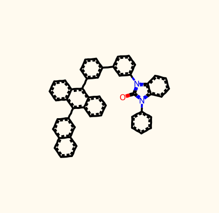 O=c1n(-c2ccccc2)c2ccccc2n1-c1cccc(-c2cccc(-c3c4ccccc4c(-c4ccc5ccccc5c4)c4ccccc34)c2)c1